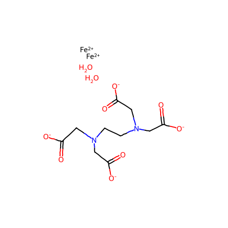 O.O.O=C([O-])CN(CCN(CC(=O)[O-])CC(=O)[O-])CC(=O)[O-].[Fe+2].[Fe+2]